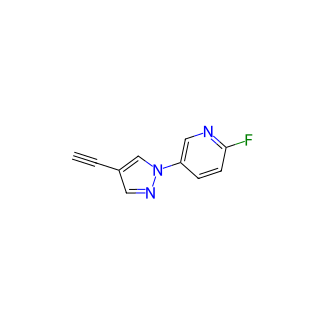 C#Cc1cnn(-c2ccc(F)nc2)c1